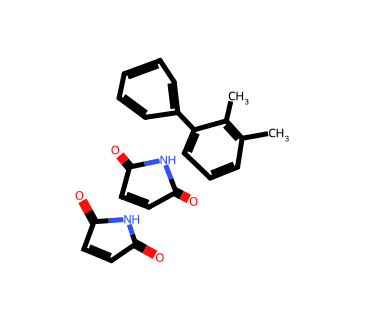 Cc1cccc(-c2ccccc2)c1C.O=C1C=CC(=O)N1.O=C1C=CC(=O)N1